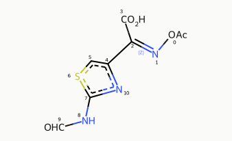 CC(=O)O/N=C(\C(=O)O)c1csc(NC=O)n1